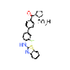 O=C(O)[C@H]1CCC[C@@H]1C(=O)c1ccc(-c2ccc(Nc3nc4ccccc4s3)c(F)c2)cc1